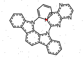 C1=CCCC(n2c3ccccc3c3ccc4c5ccccc5n(-c5ncc6nccnc6n5)c4c32)=C1